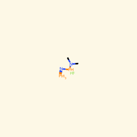 CN(C)PN=[PH3].F